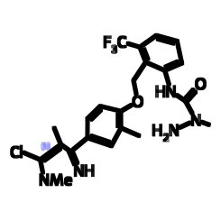 CN/C(Cl)=C(/C)C(=N)c1ccc(OCc2c(NC(=O)N(C)N)cccc2C(F)(F)F)c(C)c1